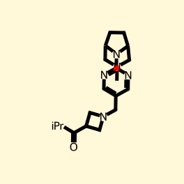 CC(C)C(=O)C1CN(Cc2cnc(N3C4CCC3CN(C)C4)nc2)C1